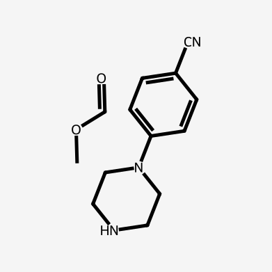 COC=O.N#Cc1ccc(N2CCNCC2)cc1